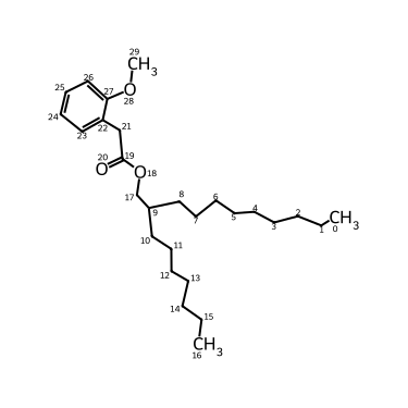 CCCCCCCCCC(CCCCCCC)COC(=O)Cc1ccccc1OC